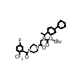 CC(c1ccc(-c2ccccc2)cc1)N(CC(=O)N1CCN(C(=O)c2cc(F)ccc2C(F)(F)F)CC1)C(=O)OC(C)(C)C